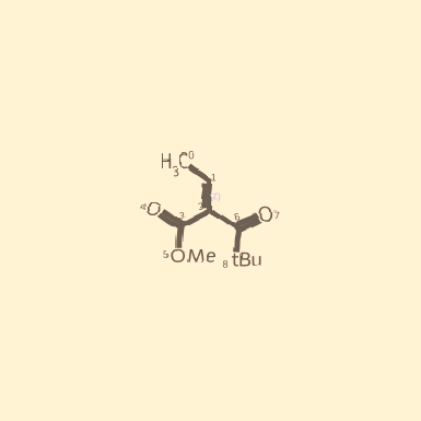 C/C=C(\C(=O)OC)C(=O)C(C)(C)C